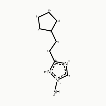 Sn1cnc(CCC2CCCC2)n1